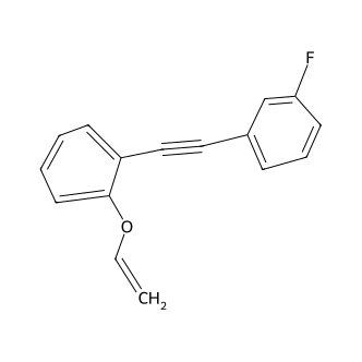 C=COc1ccccc1C#Cc1cccc(F)c1